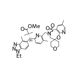 CCn1nnc2c(C)c([C@@H](c3ccc(C)c(CN4CC5(CCOCC5)Oc5ncc(C)cc5S4(=O)=O)n3)C(C)(C)C(=O)OC)ccc21